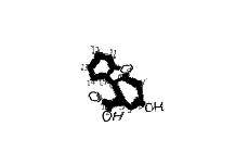 O=C(O)c1cc(O)cc2oc3ccccc3c12